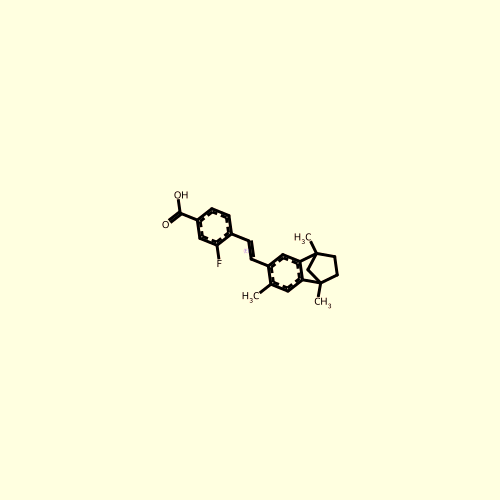 Cc1cc2c(cc1/C=C/c1ccc(C(=O)O)cc1F)C1(C)CCC2(C)C1